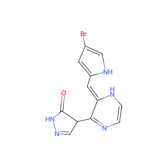 O=C1NN=CC1C1=NC=CNC1=Cc1cc(Br)c[nH]1